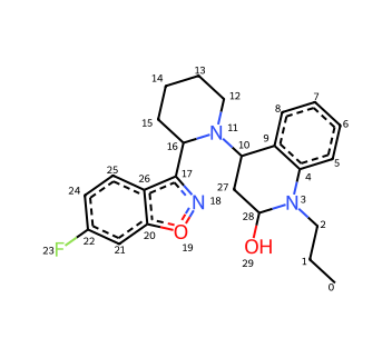 CCCN1c2ccccc2C(N2CCCCC2c2noc3cc(F)ccc23)CC1O